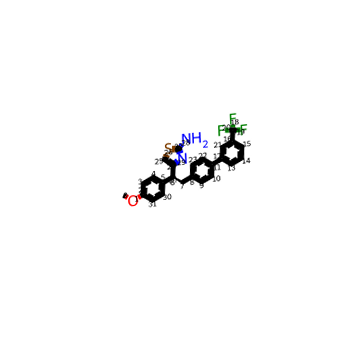 COc1ccc([C@H](Cc2ccc(-c3cccc(C(F)(F)F)c3)cc2)c2csc(N)n2)cc1